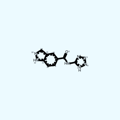 O=C(Nc1nnn[nH]1)c1ccc2[nH]ncc2c1